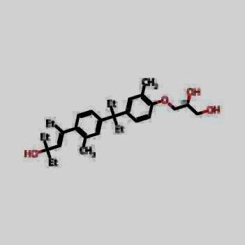 CCC(=CC(O)(CC)CC)c1ccc(C(CC)(CC)c2ccc(OC[C@@H](O)CO)c(C)c2)cc1C